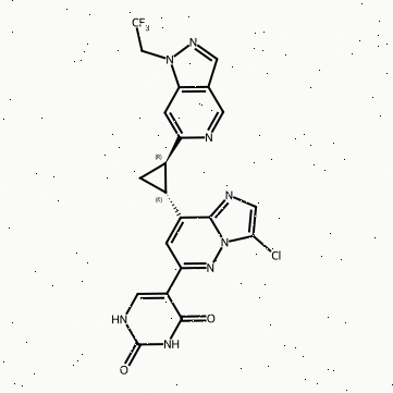 O=c1[nH]cc(-c2cc([C@@H]3C[C@H]3c3cc4c(cn3)cnn4CC(F)(F)F)c3ncc(Cl)n3n2)c(=O)[nH]1